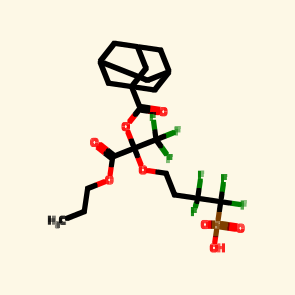 CCCOC(=O)C(OCCC(F)(F)C(F)(F)S(=O)(=O)O)(OC(=O)C12CC3CC(CC(C3)C1)C2)C(F)(F)F